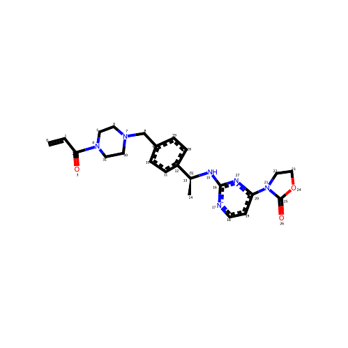 C=CC(=O)N1CCN(Cc2ccc([C@H](C)Nc3nccc(N4CCOC4=O)n3)cc2)CC1